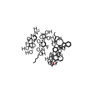 CCC1=C[C@@H]2C[N@](C1)Cc1c([nH]c3ccccc13)[C@@](C(=O)OC)(c1cc3c(cc1OC)N(C)[C@H]1[C@@](O)(C(=O)OC)[C@H](OC(C)=O)[C@]4(CC)C=CCN5CC[C@]31[C@@H]54)C2.CCCCCOC(=O)Nc1nc(=O)n([C@@H]2O[C@H](C)[C@@H](O)[C@H]2O)cc1F.Nc1ccn([C@@H]2O[C@H](CO)[C@@H](O)C2(F)F)c(=O)n1